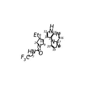 CC[C@@H]1CN(C(=O)NCC(F)(F)F)C[C@H]1c1c[nH]c2ncc3nccn3c12